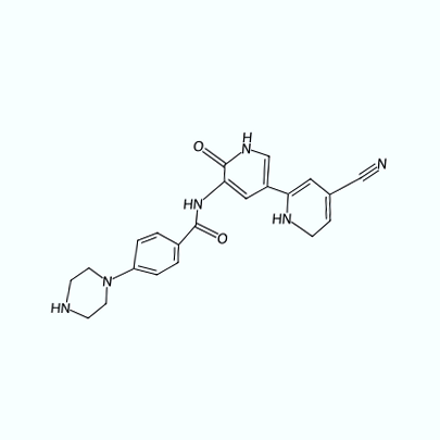 N#CC1=CCNC(c2c[nH]c(=O)c(NC(=O)c3ccc(N4CCNCC4)cc3)c2)=C1